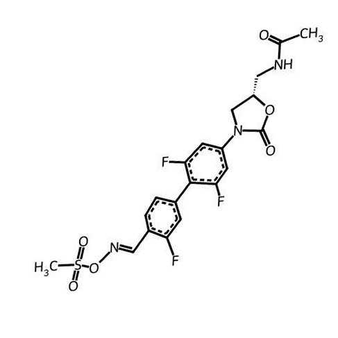 CC(=O)NC[C@H]1CN(c2cc(F)c(-c3ccc(C=NOS(C)(=O)=O)c(F)c3)c(F)c2)C(=O)O1